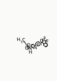 CCCCS(=O)(=O)Nc1ccc(N2CCN(C(=O)c3ccccc3C(F)(F)F)CC2)nc1